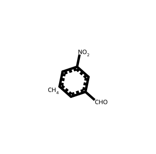 C.O=Cc1cccc([N+](=O)[O-])c1